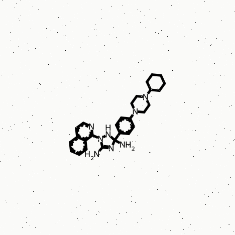 NC1=NC(N)(c2ccc(N3CCN(C4CCCCC4)CC3)cc2)NN1c1nccc2ccccc12